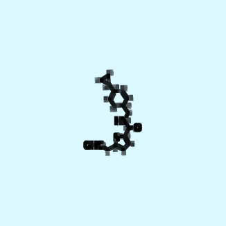 O=CCc1ccc(C(=O)NCc2ccc(C3CC3)cc2)s1